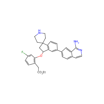 CCOC(=O)Cc1ccc(F)cc1OC1CC2(CCNCC2)c2ccc(-c3ccc4ccnc(N)c4c3)cc21